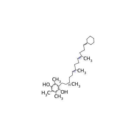 C/C(=C\CC/C(C)=C/CC[C@H](C)CCc1c(C)c(O)c(C)c(C)c1O)CCC=C1CCCCC1